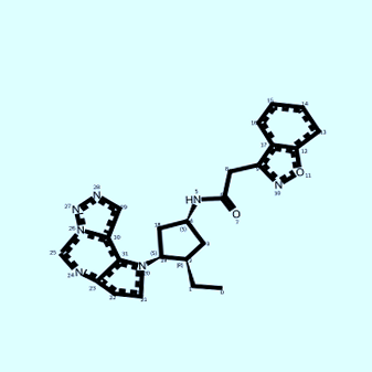 CC[C@@H]1C[C@H](NC(=O)Cc2noc3ccccc23)C[C@@H]1n1ccc2ncn3nncc3c21